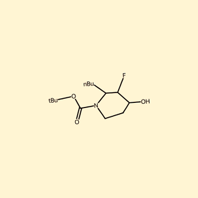 CCCCC1C(F)C(O)CCN1C(=O)OC(C)(C)C